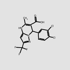 CC1=C(C(=O)O)C(c2ccc(Cl)c(Cl)c2)n2nc(C(F)(F)F)cc2N1